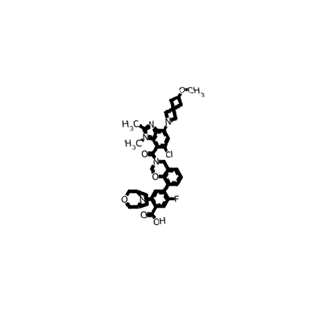 COC1CC2(C1)CN(c1cc(Cl)c(C(=O)N3COc4c(cccc4-c4cc(N5C6CCC5COC6)c(C(=O)O)cc4F)C3)c3c1nc(C)n3C)C2